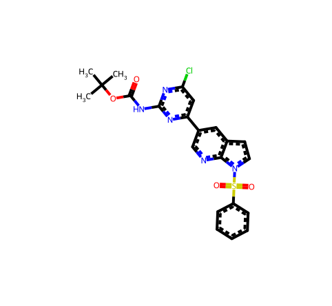 CC(C)(C)OC(=O)Nc1nc(Cl)cc(-c2cnc3c(ccn3S(=O)(=O)c3ccccc3)c2)n1